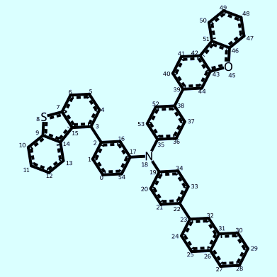 c1cc(-c2cccc3sc4ccccc4c23)cc(N(c2ccc(-c3ccc4ccccc4c3)cc2)c2ccc(-c3ccc4c(c3)oc3ccccc34)cc2)c1